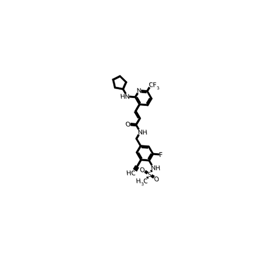 C#Cc1cc(CNC(=O)C=Cc2ccc(C(F)(F)F)nc2NC2CCCC2)cc(F)c1NS(C)(=O)=O